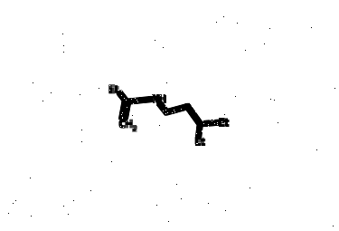 C=C(CC)NCCC(CC)CC